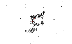 COC(=O)c1c(C)c2c3c(Cl)ccc2n1CCCOc1cc(cc2cc(F)ccc12)CCc1cc(nn1C)CSCc1nn(CCCNC(=O)OC(C)(C)C)c(C)c1-3